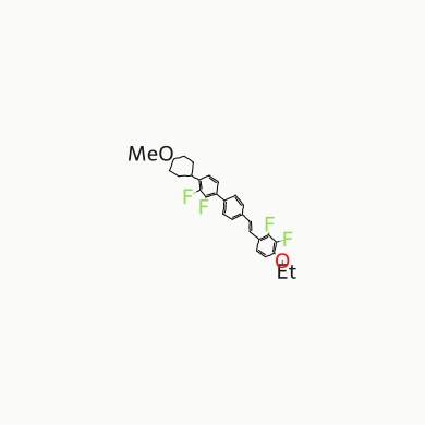 CCOc1ccc(/C=C/c2ccc(-c3ccc(C4CCC(OC)CC4)c(F)c3F)cc2)c(F)c1F